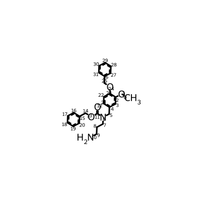 COc1cc(CN(CCCN)C(=O)OCc2ccccc2)ccc1OCc1ccccc1